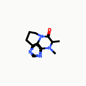 CC1C(=O)N2CCCc3ncnc(c32)N1C